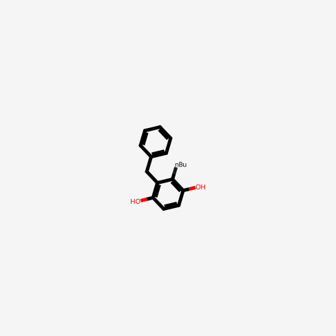 CCCCc1c(O)ccc(O)c1Cc1ccccc1